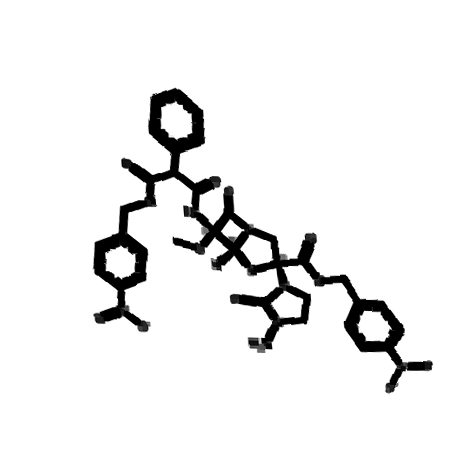 CO[C@]1(NC(=O)C(C(=O)OCc2ccc([N+](=O)[O-])cc2)c2ccccc2)C(=O)N2C[C@@](C(=O)OCc3ccc([N+](=O)[O-])cc3)(N3CCN(N)C3=O)S[C@@H]21